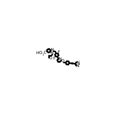 O=C(O)c1ccc2nc(Cc3cc(F)c(-c4cccc(OCc5ccc(C#Cc6cncnc6)cc5)n4)cc3F)n(CC3CCO3)c2c1